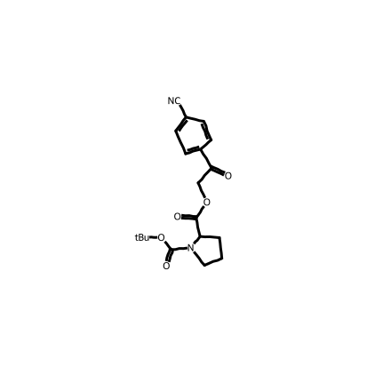 CC(C)(C)OC(=O)N1CCCC1C(=O)OCC(=O)c1ccc(C#N)cc1